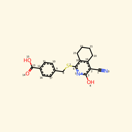 N#Cc1c(O)nc(SCc2ccc(C(=O)O)cc2)c2c1CCCC2